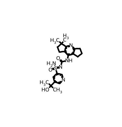 CC(C)(O)c1cncc([S@@](N)(=O)=NC(=O)Nc2c3c(nc4c2CCC4(C)C)CCC3)c1